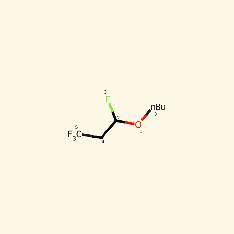 CCCCOC(F)CC(F)(F)F